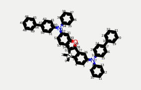 C[Si]1(C)c2ccc(N(c3ccccc3)c3ccc(-c4ccccc4)cc3)cc2-c2oc3cc(N(c4ccccc4)c4ccc(-c5ccccc5)cc4)ccc3c21